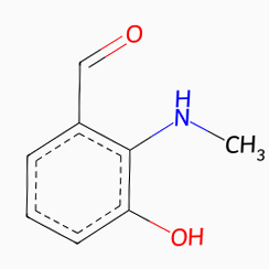 CNc1c(O)cccc1C=O